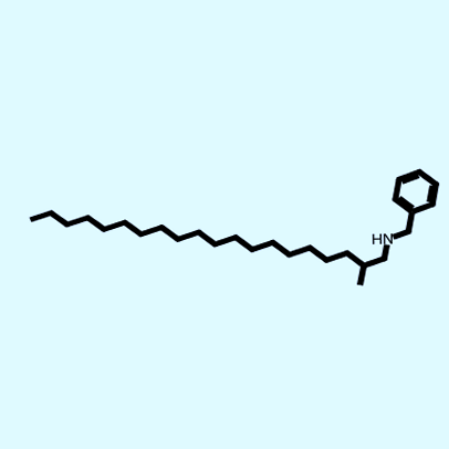 CCCCCCCCCCCCCCCCCCC(C)CNCc1ccccc1